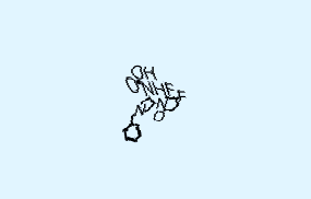 O=C(O)N[C@H]1CN(Cc2ccccc2)C[C@H]1N1CC(F)(F)CCC1=O